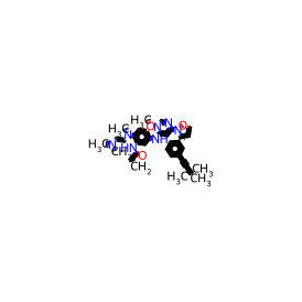 C=CC(=O)Nc1cc(Nc2cc(N3OCC[C@@H]3c3cccc(C#CC(C)(C)C)c3)ncn2)c(OC)cc1N(C)CCN(C)C